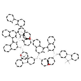 CC1(C)c2ccccc2-c2ccc(N(c3ccccc3)c3cc4ccccc4c4c3oc3c(N(c5ccccc5)c5ccc6c(c5)C(C)(C)c5ccccc5-6)cc5cc(-c6ccc(N(c7cccc8c7oc7ccccc78)c7cc8ccccc8c8c7oc7c(N(c9ccccc9)c9cccc%10c9oc9ccccc9%10)cc9ccccc9c78)cc6)ccc5c34)cc21